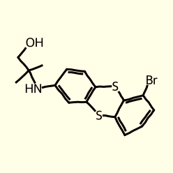 CC(C)(CO)Nc1ccc2c(c1)Sc1cccc(Br)c1S2